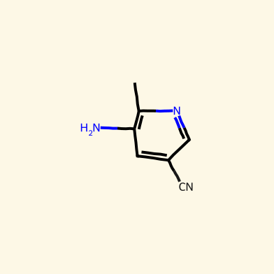 Cc1ncc(C#N)cc1N